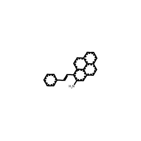 Nc1cc2ccc3cccc4ccc(c1C=Cc1ccccc1)c2c34